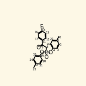 Cc1ccc(OP(=O)(CC(=O)c2ccc(F)cc2)Oc2ccc(C)cc2)cc1